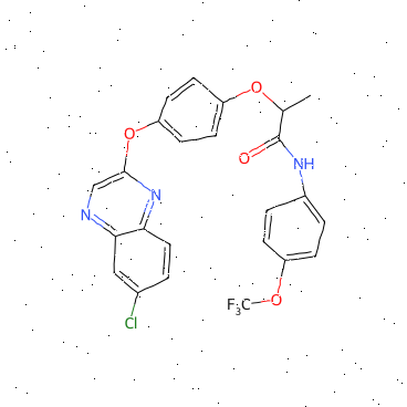 CC(Oc1ccc(Oc2cnc3cc(Cl)ccc3n2)cc1)C(=O)Nc1ccc(OC(F)(F)F)cc1